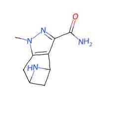 Cn1nc(C(N)=O)c2c1CC1CC2N1